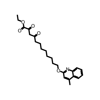 CCOC(=O)C(=O)CC(=O)CCCCCCCCOc1cc(C)c2ccccc2n1